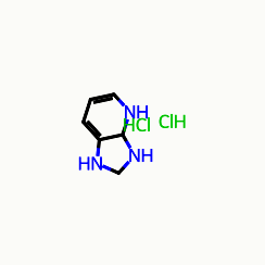 C1=CNC2NCNC2=C1.Cl.Cl